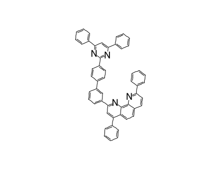 c1ccc(-c2cc(-c3ccccc3)nc(-c3ccc(-c4cccc(-c5cc(-c6ccccc6)c6ccc7ccc(-c8ccccc8)nc7c6n5)c4)cc3)n2)cc1